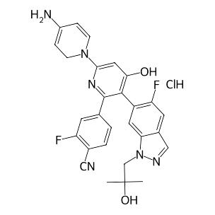 CC(C)(O)Cn1ncc2cc(F)c(-c3c(O)cc(N4C=CC(N)=CC4)nc3-c3ccc(C#N)c(F)c3)cc21.Cl